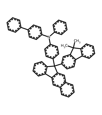 CC1(C)c2ccccc2-c2ccc(C3(c4ccc(N(c5ccccc5)c5ccc(-c6ccccc6)cc5)cc4)c4ccccc4-c4cc5ccccc5cc43)cc21